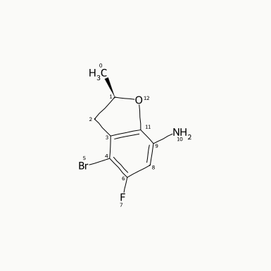 C[C@@H]1Cc2c(Br)c(F)cc(N)c2O1